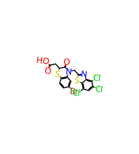 O=C(O)CC1Sc2ccc(Br)cc2N(Cc2nc3c(Cl)c(Cl)cc(Cl)c3s2)C1=O